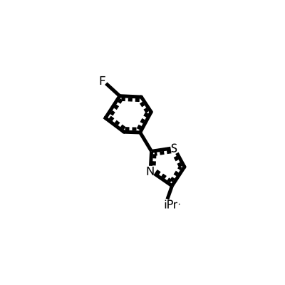 [CH2][C](C)c1csc(-c2ccc(F)cc2)n1